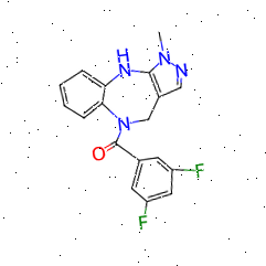 Cn1ncc2c1Nc1ccccc1N(C(=O)c1cc(F)cc(F)c1)C2